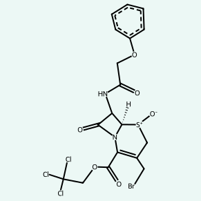 O=C(COc1ccccc1)NC1C(=O)N2C(C(=O)OCC(Cl)(Cl)Cl)=C(CBr)C[S+]([O-])[C@H]12